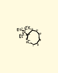 CC[Si](CC)(CC)[C]1CCCCCCCC1